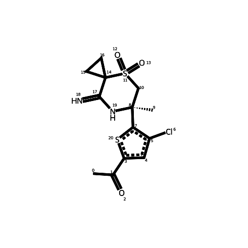 CC(=O)c1cc(Cl)c([C@]2(C)CS(=O)(=O)C3(CC3)C(=N)N2)s1